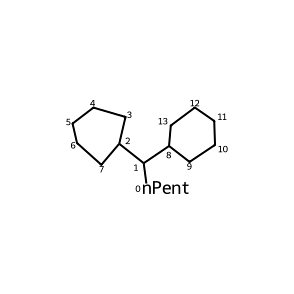 CCCCCC(C1CCCCC1)C1CCCCC1